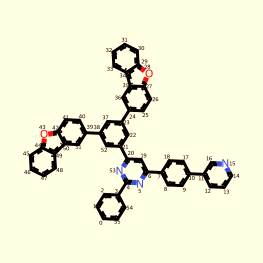 c1ccc(-c2nc(-c3ccc(-c4cccnc4)cc3)cc(-c3cc(-c4ccc5oc6ccccc6c5c4)cc(-c4ccc5oc6ccccc6c5c4)c3)n2)cc1